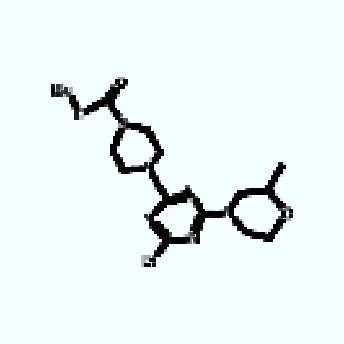 CCc1nc(N2CCN(C(=O)OC(C)(C)C)CC2)nc(N2CCOC(C)C2)n1